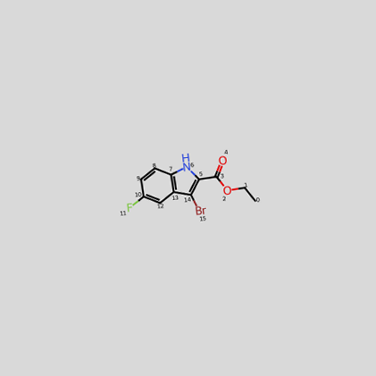 CCOC(=O)c1[nH]c2ccc(F)cc2c1Br